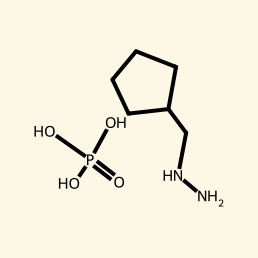 NNCC1CCCC1.O=P(O)(O)O